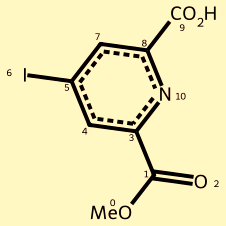 COC(=O)c1cc(I)cc(C(=O)O)n1